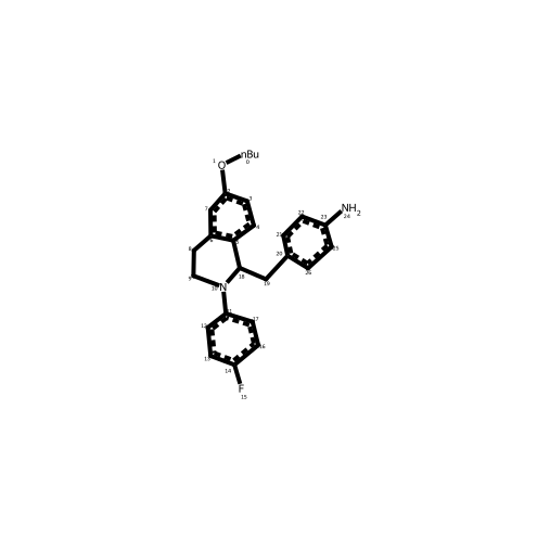 CCCCOc1ccc2c(c1)CCN(c1ccc(F)cc1)C2Cc1ccc(N)cc1